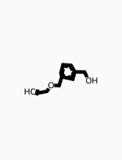 C#CCOCc1cccc(CO)c1